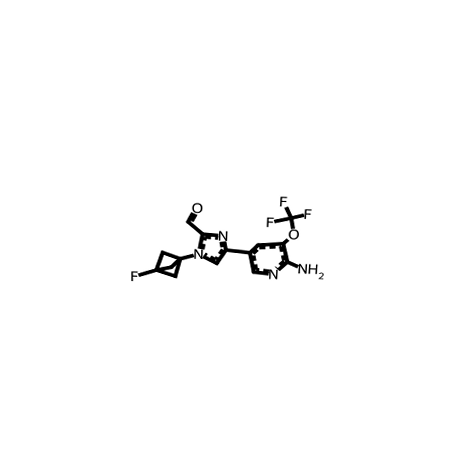 Nc1ncc(-c2cn(C34CC(F)(C3)C4)c(C=O)n2)cc1OC(F)(F)F